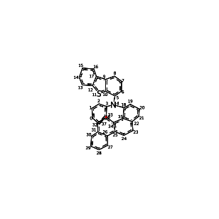 c1ccc(N(c2cccc3c2sc2ccccc23)c2cccc3ccc4c5ccccc5ccc4c23)cc1